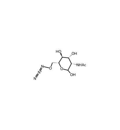 CC(=O)N[C@@H]1C(O)O[C@H](CON=[N+]=[N-])[C@@H](O)[C@@H]1O